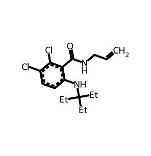 C=CCNC(=O)c1c(NC(CC)(CC)CC)ccc(Cl)c1Cl